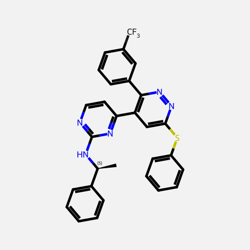 C[C@H](Nc1nccc(-c2cc(Sc3ccccc3)nnc2-c2cccc(C(F)(F)F)c2)n1)c1ccccc1